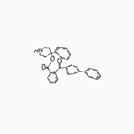 O=C(OC1(c2ccccc2)CCNCC1)c1ccccc1C(=O)c1ccc(-c2ccccc2)cc1